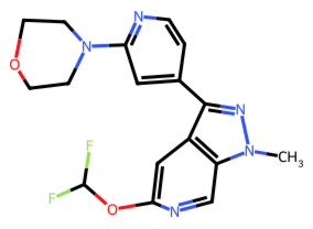 Cn1nc(-c2ccnc(N3CCOCC3)c2)c2cc(OC(F)F)ncc21